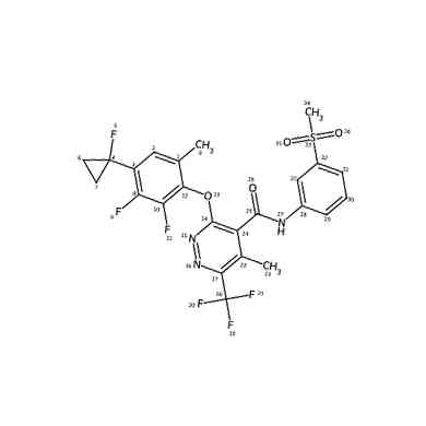 Cc1cc(C2(F)CC2)c(F)c(F)c1Oc1nnc(C(F)(F)F)c(C)c1C(=O)Nc1cccc(S(C)(=O)=O)c1